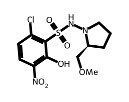 COC[C@@H]1CCCN1NS(=O)(=O)c1c(Cl)ccc([N+](=O)[O-])c1O